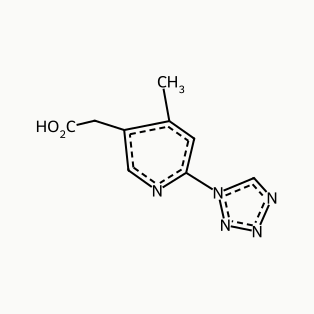 Cc1cc(-n2cnnn2)ncc1CC(=O)O